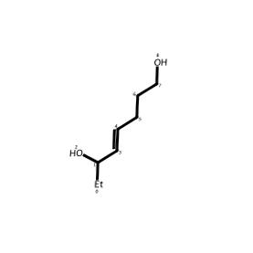 CCC(O)C=CCCCO